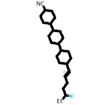 CCC(F)CC/C=C/C1CCC(C2CCC(C3CCC(C#N)CC3)CC2)CC1